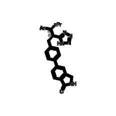 CCC[C@H](C(C)=O)[C@H](Cc1ccc(-c2ccc3c(c2)CNC3=O)cc1)c1nnn[nH]1